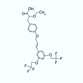 CCOC(Cc1ccc(OCC=Cc2cc(OCC(F)(F)F)cc(OCC(F)(F)F)c2)cc1)C(=O)O